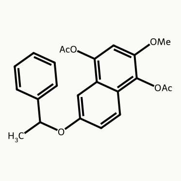 COc1cc(OC(C)=O)c2cc(OC(C)c3ccccc3)ccc2c1OC(C)=O